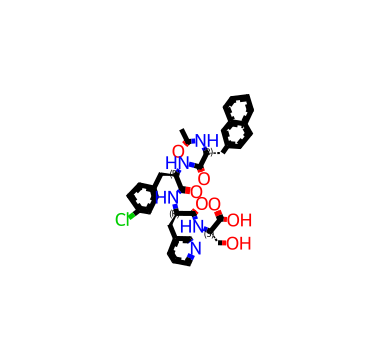 CC(=O)N[C@H](Cc1ccc2ccccc2c1)C(=O)N[C@H](Cc1ccc(Cl)cc1)C(=O)N[C@H](Cc1cccnc1)C(=O)N[C@@H](CO)C(=O)O